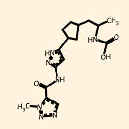 CC(CC1CCC(c2cc(NC(=O)c3cnnn3C)n[nH]2)C1)NC(=O)O